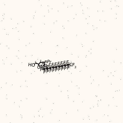 CCCN(CC(O)CO)S(=O)(=O)C(F)(F)C(F)(F)C(F)(F)C(F)(F)C(F)(F)C(F)(F)C(F)(F)C(F)(F)C(F)(F)C(F)(F)F